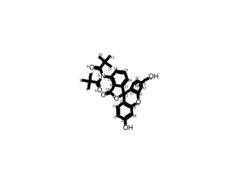 CC(C)(C)C(=O)N(C(=O)C(C)(C)C)c1cccc2c1C(=O)OC21c2ccc(O)cc2Oc2cc(O)ccc21